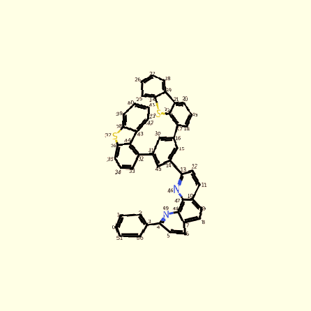 c1ccc(-c2ccc3ccc4ccc(-c5cc(-c6cccc7c6sc6ccccc67)cc(-c6cccc7sc8ccccc8c67)c5)nc4c3n2)cc1